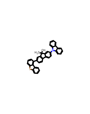 CC1(C)c2cc(-c3cccc4sc5ccccc5c34)ccc2-c2ccc(-n3c4ccccc4c4ccccc43)cc21